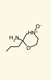 CCCC1(N)C[NH+]([O-])CCO1